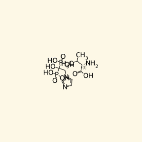 CC(C)[C@H](N)C(=O)O.O=P(O)(O)C(O)(Cn1ccnc1)P(=O)(O)O